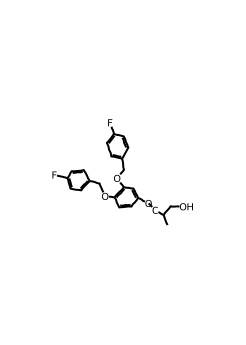 CC(CO)COc1ccc(OCc2ccc(F)cc2)c(OCc2ccc(F)cc2)c1